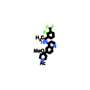 COC1(c2ccc3nccc(N[C@H](C)c4cccc(C(F)F)c4F)c3c2)CCN(C(C)=O)CC1